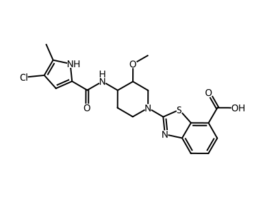 COC1CN(c2nc3cccc(C(=O)O)c3s2)CCC1NC(=O)c1cc(Cl)c(C)[nH]1